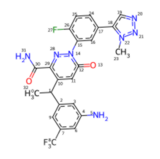 CC(c1cc(N)cc(C(F)(F)F)c1)c1cc(=O)n(-c2cc(-c3cnnn3C)ccc2F)nc1C(N)=O